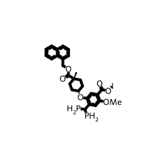 COc1cc(C(P)P)c(O[C@H]2CC[C@@](C)(C(=O)OCc3cccc4ccccc34)CC2)cc1C(=O)OI